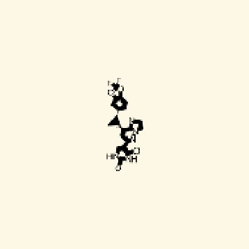 O=c1[nH]cc(-c2cc([C@H]3C[C@@H]3c3ccc4c(c3)OC(F)(F)O4)c3nccn3n2)c(=O)[nH]1